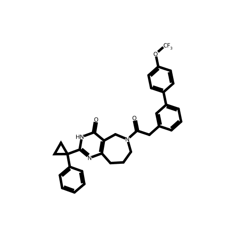 O=C(Cc1cccc(-c2ccc(OC(F)(F)F)cc2)c1)N1CCCc2nc(C3(c4ccccc4)CC3)[nH]c(=O)c2C1